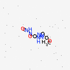 COc1ccc(-c2cccc3nc(Nc4ccc(C(=O)NCCN5CCOCC5)cc4)nn23)cc1